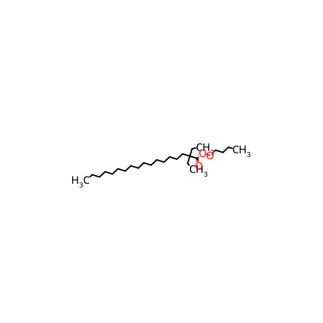 CCCCCCCCCCCCCCCCC(CC)(CC)C(=O)OOCCCC